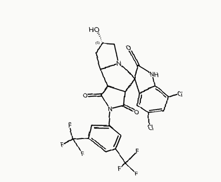 O=C1C2C3C[C@H](O)CN3C3(C(=O)Nc4c(Cl)cc(Cl)cc43)C2C(=O)N1c1cc(C(F)(F)F)cc(C(F)(F)F)c1